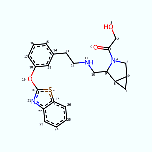 O=C(CO)N1CC2CC2C1CNCCc1cccc(Oc2nc3ccccc3s2)c1